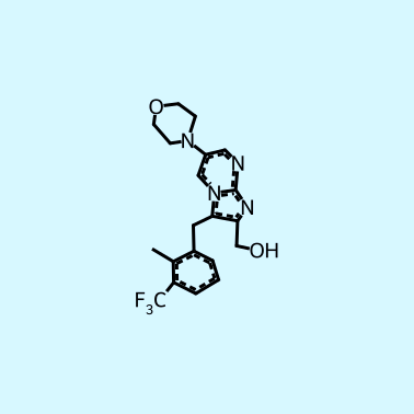 Cc1c(Cc2c(CO)nc3ncc(N4CCOCC4)cn23)cccc1C(F)(F)F